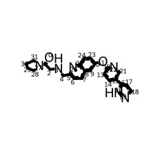 O=C(CNCc1ccc2cc(Oc3ccc(-c4ccn[nH]4)cn3)ccc2n1)N1CCCC1